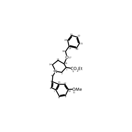 CCOC(=O)C1CN(CC2=Cc3ccc(OC)cc32)CCC1OCc1ccccc1